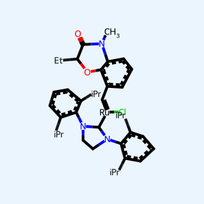 CCC1Oc2c([CH]=[Ru]([Cl])[CH]3N(c4c(C(C)C)cccc4C(C)C)CCN3c3c(C(C)C)cccc3C(C)C)cccc2N(C)C1=O